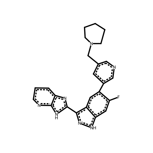 Fc1cc2[nH]nc(-c3nc4cccnc4[nH]3)c2cc1-c1cncc(CN2CCCCC2)c1